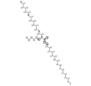 CCCCCCCCCCCCCCCCCCOOC(=O)C(CCCCCCCCCCCCCCCC)OCCCCC